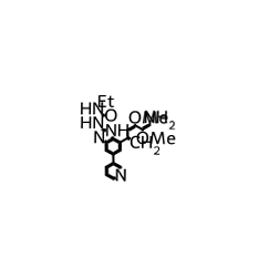 C=C(/C=C(OC)\C(=C/N)OC)c1cc(-c2cccnc2)cc2nc(NC(=O)NCC)[nH]c12